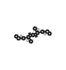 CC1(C)c2cc3c(cc2-c2c1cc(-c1ccc4c(c1)oc1c5ccccc5ccc41)c1oc4ccccc4c21)C(C)(C)c1cc(-c2ccc4c(c2)oc2c5ccccc5ccc42)c2oc4ccccc4c2c1-3